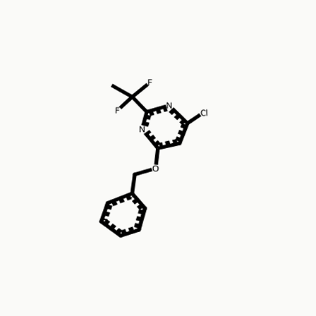 CC(F)(F)c1nc(Cl)cc(OCc2ccccc2)n1